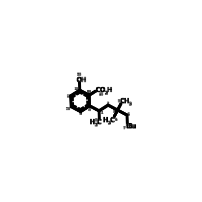 CC(CC(C)(C)CC(C)(C)C)c1cccc(O)c1C(=O)O